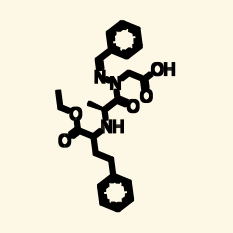 CCOC(=O)C(CCc1ccccc1)N[C@@H](C)C(=O)N(CC(=O)O)/N=C\c1ccccc1